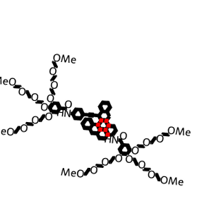 COCCOCCOCCOc1cc(C(=O)Nc2ccc(C#CC34C(c5c6ccccc6cc6ccccc56)=C(c5ccc(NC(=O)c6cc(OCCOCCOCCOC)c(OCCOCCOCCOC)c(OCCOCCOCCOC)c6)cc5)C(c5ccccc53)c3ccccc34)cc2)cc(OCCOCCOCCOC)c1OCCOCCOCCOC